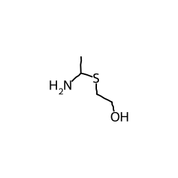 CC(N)SCCO